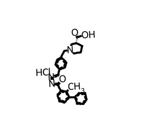 Cc1c(-c2ccccc2)cccc1-c1nnc(-c2ccc(CN3CCC[C@@H](C(=O)O)C3)cc2)o1.Cl